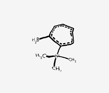 Bc1ccccc1[N+](C)(C)C